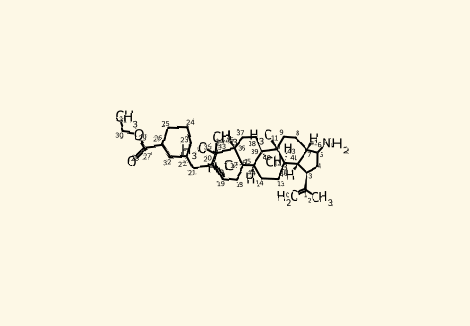 C=C(C)[C@@H]1CC(N)[C@H]2CC[C@]3(C)[C@H](CC[C@@H]4[C@@]5(C)CC=C(CC6CCCC(C(=O)OCC)C6)C(C)(C)[C@@H]5CC[C@]43C)[C@H]21